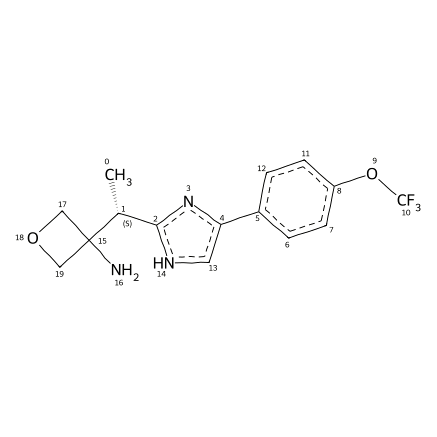 C[C@H](c1nc(-c2ccc(OC(F)(F)F)cc2)c[nH]1)C1(N)COC1